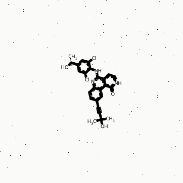 C[C@@H](O)c1cc(Cl)c(Nc2nc3ccc(C#CC(C)(C)O)cc3c3c(=O)[nH]ccc23)c(Cl)c1